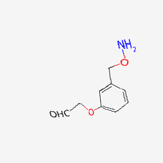 NOCc1cccc(OCC=O)c1